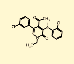 CCn1nc(-c2cccc(Cl)c2)c(C(C)=O)c(Nc2ccccc2Cl)c1=O